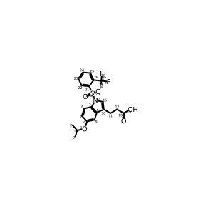 CC(C)Oc1ccc2c(c1)c(CCC(=O)O)cn2S(=O)(=O)c1ccccc1C(F)(F)F